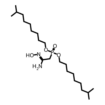 CC(C)CCCCCCCOP(=O)(CC(N)=NO)OCCCCCCCC(C)C